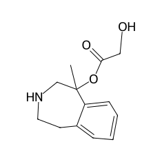 CC1(OC(=O)CO)CNCCc2ccccc21